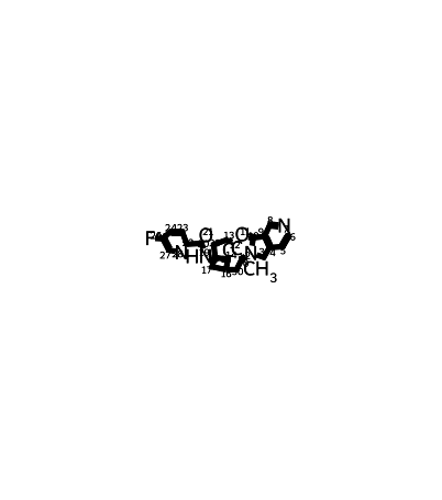 CC1(N2Cc3ccncc3C2=O)CC2CC3C(CC3(NC(=O)c3ccc(F)cn3)C2)C1